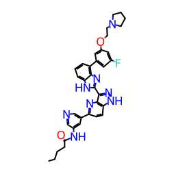 CCCCC(=O)Nc1cncc(-c2ccc3[nH]nc(-c4nc5c(-c6cc(F)cc(OCCN7CCCC7)c6)cccc5[nH]4)c3n2)c1